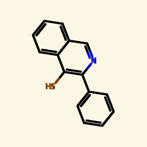 Sc1c(-c2ccccc2)ncc2ccccc12